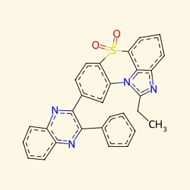 CCc1nc2cccc3c2n1-c1cc(-c2nc4ccccc4nc2-c2ccccc2)ccc1S3(=O)=O